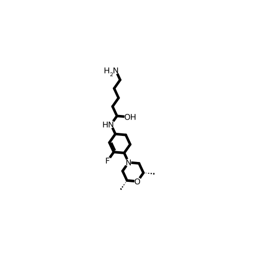 C[C@@H]1CN(C2CCC(NC(O)CCCCN)C=C2F)C[C@H](C)O1